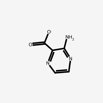 Nc1nccnc1C([O])=O